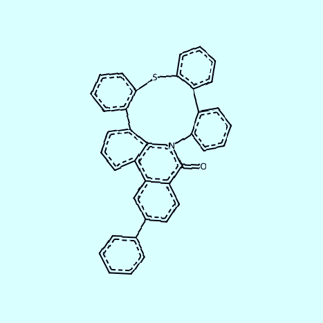 O=c1c2ccc(-c3ccccc3)cc2c2cccc3c2n1-c1ccccc1-c1ccccc1Sc1ccccc1-3